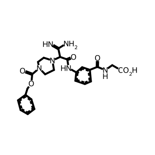 N=C(N)C(C(=O)Nc1cccc(C(=O)NCC(=O)O)c1)N1CCN(C(=O)OCc2ccccc2)CC1